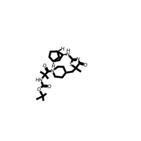 CC(C)(C)OC(=O)NC(C)(C)C(=O)N1CCC(CC2(C)SC(N[C@H]3C[C@H]4CC[C@H]3C4)=NC2=O)CC1